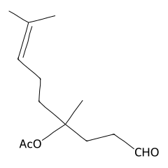 CC(=O)OC(C)(CCC=O)CCC=C(C)C